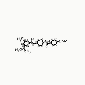 COc1ccc(C(=O)NC2CCC(CNc3nc(C)cc(N(C)C)n3)CC2)cc1